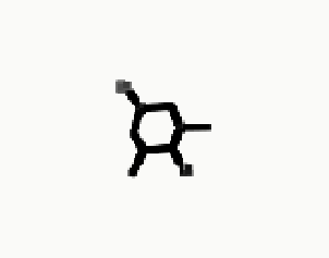 CCC1C(C)CN(CC)CN1C